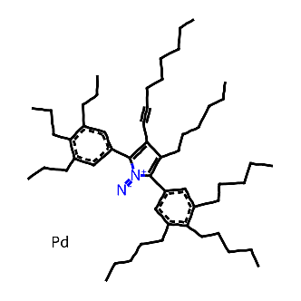 CCCCCCC#CC1=C(c2cc(CCC)c(CCC)c(CCC)c2)[N+](=[N-])C(c2cc(CCCCC)c(CCCCC)c(CCCCC)c2)=C1CCCCCC.[Pd]